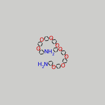 Nc1cccc(Oc2ccc(Oc3ccc(Oc4ccc(Oc5ccccc5Oc5ccc(Oc6ccc(Oc7ccc(Oc8cccc(N)c8)cc7)cc6)cc5)cc4)cc3)cc2)c1